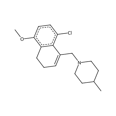 COc1ccc(Cl)c2c1CCC=C2CN1CCC(C)CC1